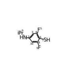 CC(C)Nc1cc(F)c(S)c(F)c1